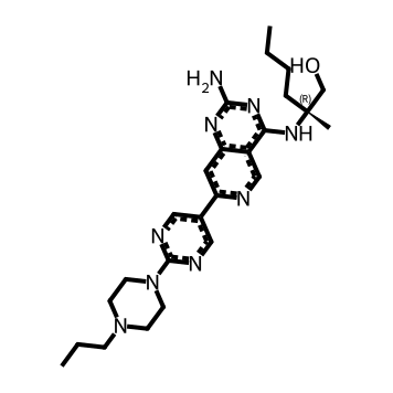 CCCC[C@](C)(CO)Nc1nc(N)nc2cc(-c3cnc(N4CCN(CCC)CC4)nc3)ncc12